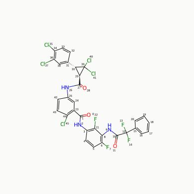 O=C(Nc1ccc(F)c(NC(=O)C(F)(F)c2ccccc2)c1F)c1cc(NC(=O)[C@H]2[C@H](c3ccc(Cl)c(Cl)c3)C2(Cl)Cl)ccc1Cl